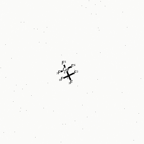 F[C](F)(F)[Ge]([F])([F])[F]